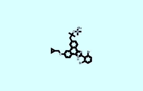 CC(C)(Cc1ccc2c(c1)c1cc(OCC3CC3)ccc1c1[nH]c(-c3c(Br)cccc3Br)nc21)O[Si](C)(C)C(C)(C)C